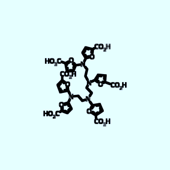 O=C(O)c1ccc(N(CCN(CCN(c2ccc(C(=O)O)o2)c2ccc(C(=O)O)o2)c2ccc(C(=O)O)o2)CCN(c2ccc(C(=O)O)o2)c2ccc(C(=O)O)o2)o1